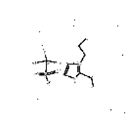 CCC[n+]1cc[nH]c1CC.O=S(=O)([O-])C(F)(F)F